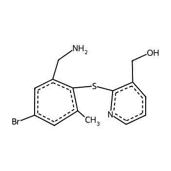 Cc1cc(Br)cc(CN)c1Sc1ncccc1CO